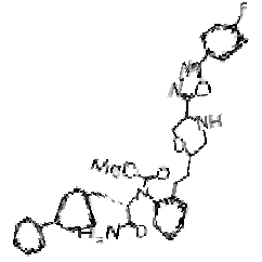 COC(=O)N(c1ccccc1CC[C@@H]1CN[C@H](c2nnc(-c3ccc(F)cc3)o2)CO1)[C@@H](Cc1ccc(-c2ccccc2)cc1)C(N)=O